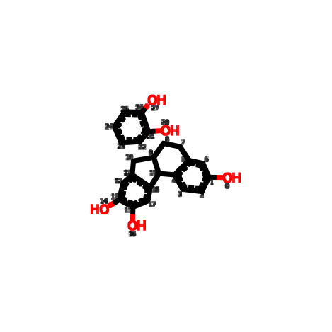 Oc1ccc2c(c1)CCC1Cc3cc(O)c(O)cc3C21.Oc1ccccc1O